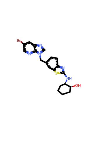 O[C@H]1CCCC[C@H]1Nc1nc2ccc(Cn3cnc4cc(Br)cnc43)cc2s1